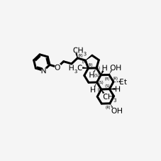 CC[C@H]1[C@@H](O)[C@@H]2[C@H](CC[C@]3(C)[C@@H]([C@H](C)CCOc4ccccn4)CC[C@@H]23)[C@@]2(C)CC[C@@H](O)C[C@@H]12